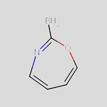 BC1=NC=CC=CO1